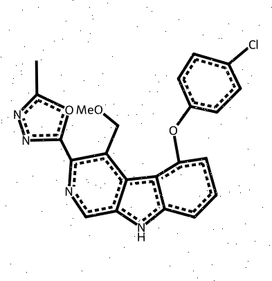 COCc1c(-c2nnc(C)o2)ncc2[nH]c3cccc(Oc4ccc(Cl)cc4)c3c12